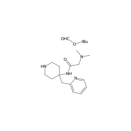 CC(C)(C)OC=O.CN(C)CC(=O)NC1(Cc2ccccn2)CCNCC1